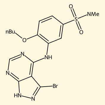 CCCCOc1ccc(S(=O)(=O)NC)cc1Nc1ncnc2[nH]nc(Br)c12